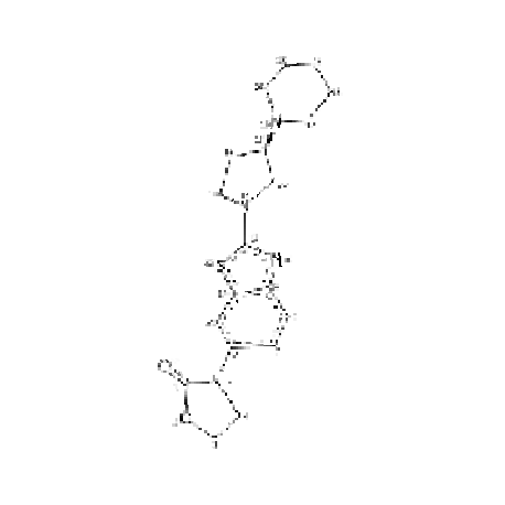 O=C1OCCN1c1ccc2nc(N3CC[C@@H](N4CCCCC4)C3)sc2c1